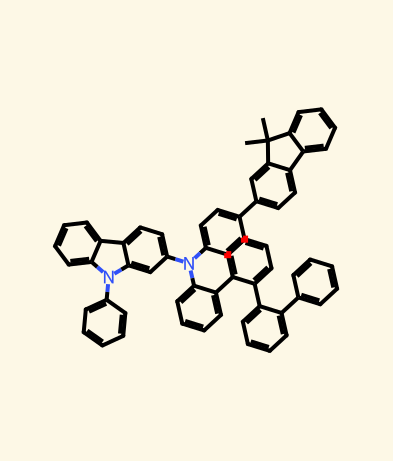 CC1(C)c2ccccc2-c2ccc(-c3ccc(N(c4ccc5c6ccccc6n(-c6ccccc6)c5c4)c4ccccc4-c4ccccc4-c4ccccc4-c4ccccc4)cc3)cc21